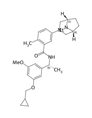 CCN1[C@@H]2CC[C@H]1CN(c1ccc(C)c(C(=O)N[C@H](C)c3cc(OC)cc(OCC4CC4)c3)c1)C2